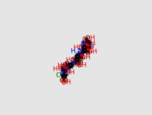 Cc1cc(S(=O)(=O)O)cc(Cl)c1-n1nc(C(=O)O)c(N=Nc2ccc(N=Nc3c(S(=O)(=O)O)cc4c(S(=O)(=O)O)c(N=Nc5cc(S(=O)(=O)O)c6cc(S(=O)(=O)O)c(/N=N\c7cc([N+](=O)[O-])ccc7C(=O)O)c(O)c6c5N)ccc4c3O)cc2S(=O)(=O)O)c1O